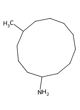 CC1CCCCCCCC(N)CCC1